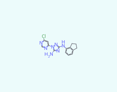 Nc1nc(Nc2cccc3c2CCC3)nn1-c1cc(Cl)ncn1